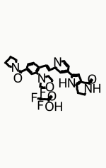 O=C(O)C(F)(F)F.O=C1NCCc2[nH]c(-c3ccnc(C=Cc4ccc(C(=O)N5CCCC5)cc4N4CCOCC4)c3)cc21